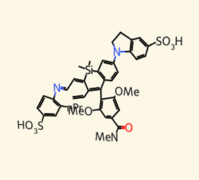 C=CC1=C(c2c(OC)cc(C(=O)NC)cc2OC)c2ccc(N3CCc4cc(S(=O)(=O)O)ccc43)cc2[Si](C)(C)/C1=C/C=N/c1ccc(S(=O)(=O)O)cc1CCC